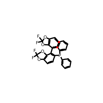 FC1(F)Oc2cccc(-c3c(P(c4ccccc4)c4ccccc4)ccc4c3OC(F)(F)O4)c2O1